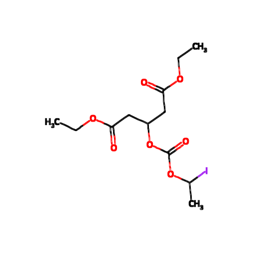 CCOC(=O)CC(CC(=O)OCC)OC(=O)OC(C)I